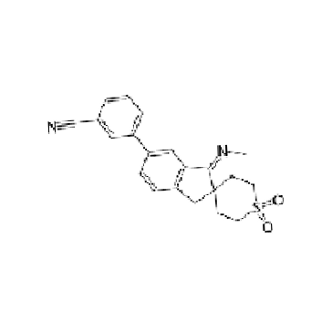 C/N=C1/c2cc(-c3cccc(C#N)c3)ccc2CC12CCS(=O)(=O)CC2